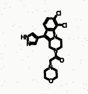 O=C(CN1CCOCC1)N1CCn2c(c(-c3cn[nH]c3)c3ccc(Cl)c(Cl)c32)C1